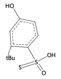 CC(C)(C)c1cc(O)ccc1S(=O)(O)=S